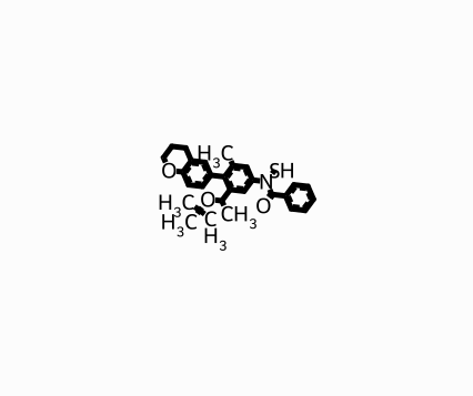 Cc1cc(N(S)C(=O)c2ccccc2)cc(C(C)OC(C)(C)C)c1-c1ccc2c(c1)CCCO2